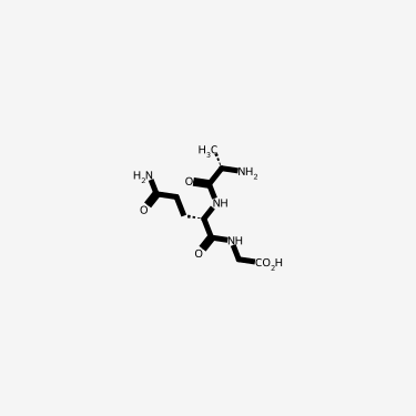 C[C@H](N)C(=O)N[C@@H](CCC(N)=O)C(=O)NCC(=O)O